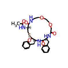 CC(=O)N[C@H]1CSC(=O)[C@H](Cc2ccccc2)NC(=O)[C@H](Cc2ccccc2)NC(=O)COCCOCCNC1=O